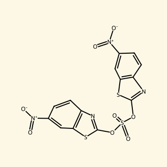 O=[N+]([O-])c1ccc2nc(OS(=O)(=O)Oc3nc4ccc([N+](=O)[O-])cc4s3)sc2c1